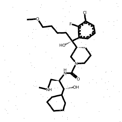 CNC[C@@H](NC(=O)N1CCC[C@@H]([C@@](O)(CCCCOC)c2cccc(Cl)c2F)C1)[C@H](O)C1CCCCC1